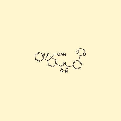 COCC1(C)C=C(c2nc(-c3cccc(C4OCCO4)c3)no2)C=CC1c1ccccc1